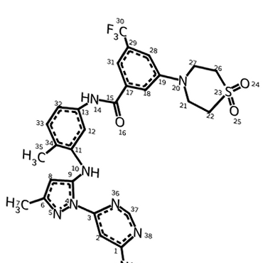 CNc1cc(-n2nc(C)cc2Nc2cc(NC(=O)c3cc(N4CCS(=O)(=O)CC4)cc(C(F)(F)F)c3)ccc2C)ncn1